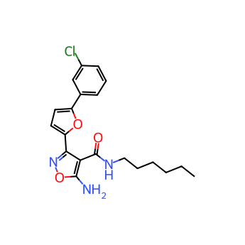 CCCCCCNC(=O)c1c(-c2ccc(-c3cccc(Cl)c3)o2)noc1N